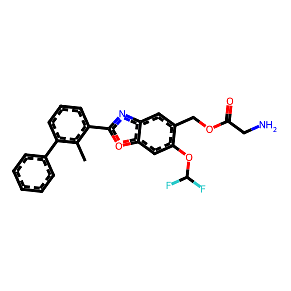 Cc1c(-c2ccccc2)cccc1-c1nc2cc(COC(=O)CN)c(OC(F)F)cc2o1